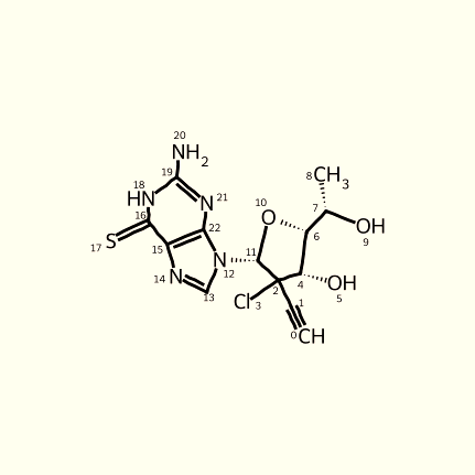 C#CC1(Cl)[C@@H](O)[C@@H]([C@H](C)O)O[C@H]1n1cnc2c(=S)[nH]c(N)nc21